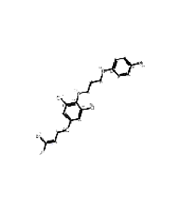 F/C(Br)=C/COc1cc(Cl)c(OCCCOc2ccc(Br)cc2)c(Cl)c1